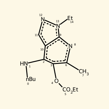 CCCCNc1c(OC(=O)OCC)c(C)nc2c1cnn2CC